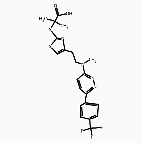 CN(CCc1csc(SC(C)(C)C(=O)O)n1)c1ccc(-c2ccc(C(F)(F)F)cc2)nn1